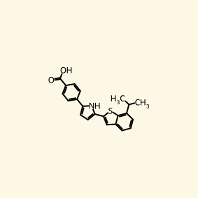 CC(C)c1cccc2cc(-c3ccc(-c4ccc(C(=O)O)cc4)[nH]3)sc12